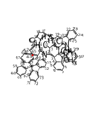 CC1C2=C3c4ccccc4C(C)(C)C3(C)C3=C1C(C)(C=C1c4ccccc4N(c4ccccc4)C13C)c1ccc3oc4cccc(c4c3c1)N2c1ccc2c(c1)C(c1ccccc1)(c1ccccc1)c1ccccc1-2